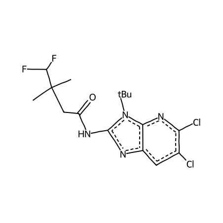 CC(C)(CC(=O)Nc1nc2cc(Cl)c(Cl)nc2n1C(C)(C)C)C(F)F